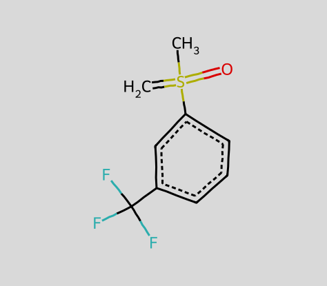 C=S(C)(=O)c1cccc(C(F)(F)F)c1